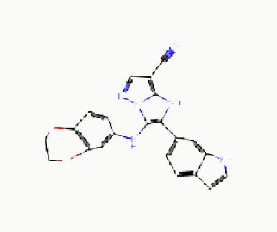 N#Cc1cnn2c(Nc3ccc4c(c3)OCCO4)c(-c3ccc4cc[nH]c4c3)[nH]c12